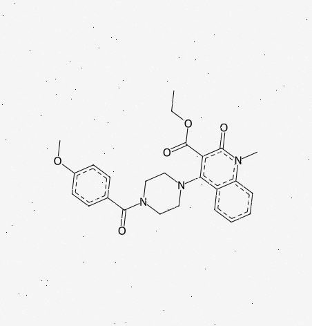 CCOC(=O)c1c(N2CCN(C(=O)c3ccc(OC)cc3)CC2)c2ccccc2n(C)c1=O